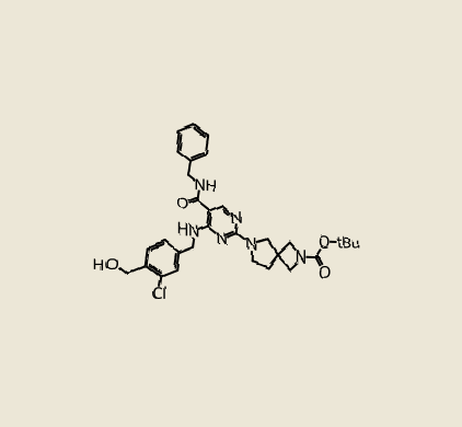 CC(C)(C)OC(=O)N1CC2(CCN(c3ncc(C(=O)NCc4ccccc4)c(NCc4ccc(CO)c(Cl)c4)n3)C2)C1